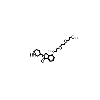 O=C1c2cccc(NCCOCCOCCO)c2CN1C1CCCNC1